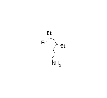 CCC(CC)CC(CC)CCCN